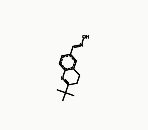 CC(C)(C)C1=Nc2ccc(C=NO)cc2CC1